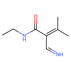 CCNC(=O)C(C=N)=C(C)C